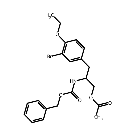 CCOc1ccc(CC(COC(C)=O)NC(=O)OCc2ccccc2)cc1Br